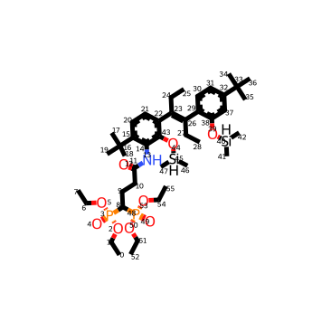 CCOP(=O)(OCC)C(CCC(=O)Nc1c(C(C)(C)C)ccc(/C(CC)=C(\CC)c2ccc(C(C)(C)C)cc2O[SiH](C)C)c1O[SiH](C)C)P(=O)(OCC)OCC